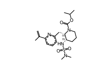 C=C(C)c1cccc(C[C@H]2[C@@H](NS(=O)(=O)N(C)C)CCCN2C(=O)OC(C)C)n1